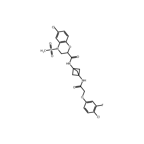 CS(=O)(=O)N1CC(C(=O)NC23CC(NC(=O)COc4ccc(Cl)c(F)c4)(C2)C3)Oc2ccc(Cl)cc21